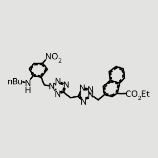 CCCCNc1ccc([N+](=O)[O-])cc1Cn1nnc(Cc2nnn(Cc3cc(C(=O)OCC)c4ccccc4c3)n2)n1